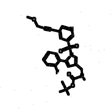 COCC#Cc1cncc(S(=O)(=O)n2cc(CN(C)C(=O)OC(C)(C)C)cc2-c2ccccc2F)c1